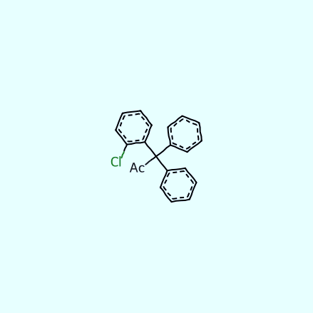 CC(=O)C(c1ccccc1)(c1ccccc1)c1ccccc1Cl